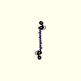 CC1=C(/C=C/C(C)=C/C=C/C(C)=C/C=C/C=C(C)/C=C/C=C(C)/C=C/C2=C(C)C(=O)C(Sc3ccccc3)CC2(C)C)C(C)(C)CC(Sc2ccccc2)C1=O